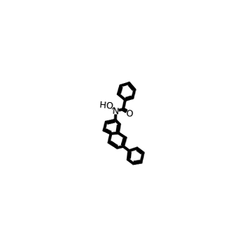 O=C(c1ccccc1)N(O)c1ccc2ccc(-c3ccccc3)cc2c1